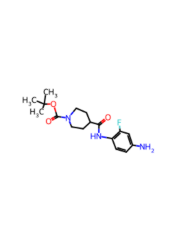 CC(C)(C)OC(=O)N1CCC(C(=O)Nc2ccc(N)cc2F)CC1